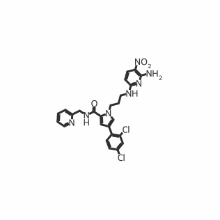 Nc1nc(NCCCn2cc(-c3ccc(Cl)cc3Cl)cc2C(=O)NCc2ccccn2)ccc1[N+](=O)[O-]